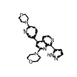 c1cc(-c2nccc3c(-c4ccc(N5CCOCC5)nc4)cc(N4CCOCC4)nc23)[nH]n1